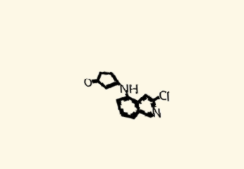 O=C1C=C(Nc2cccc3cnc(Cl)cc23)CC1